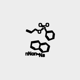 C=CCOS(=O)(=O)c1ccccc1.CCCCCCCC[CH2][Na].c1ccc2ccccc2c1